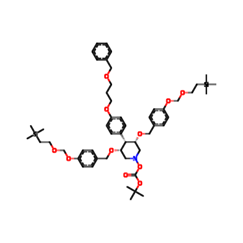 CC(C)(C)OC(=O)ON1C[C@H](OCc2ccc(OCOCC[Si](C)(C)C)cc2)[C@H](c2ccc(OCCCOCc3ccccc3)cc2)[C@H](OCc2ccc(OCOCC[Si](C)(C)C)cc2)C1